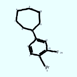 CC(C)c1ccc(C2CCCCCC2)cc1F